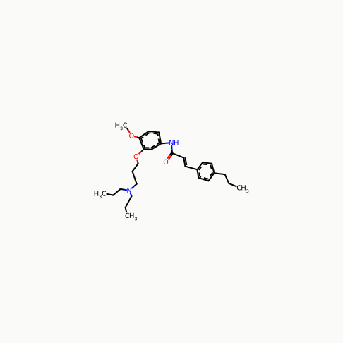 CCCc1ccc(C=CC(=O)Nc2ccc(OC)c(OCCCN(CCC)CCC)c2)cc1